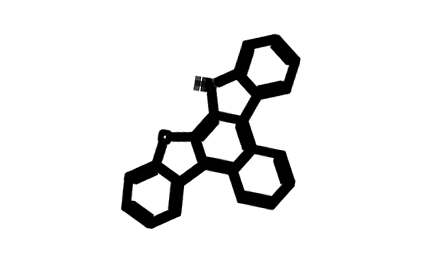 c1ccc2c(c1)[nH]c1c3oc4ccccc4c3c3ccccc3c21